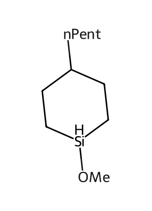 CCCCCC1CC[SiH](OC)CC1